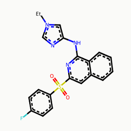 CCn1cnc(Nc2nc(S(=O)(=O)c3ccc(F)cc3)cc3ccccc23)c1